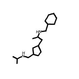 CC(C)NCC1CCC(CC(C)NCC2CCCCC2)C1